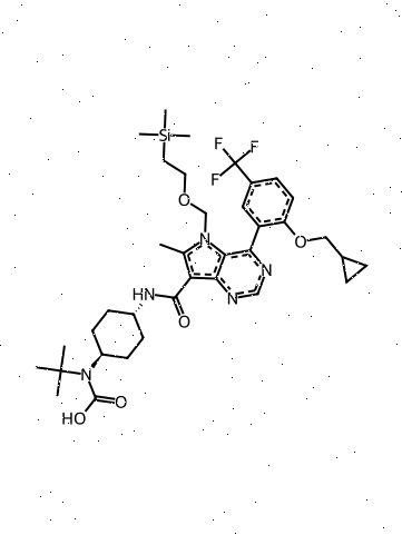 Cc1c(C(=O)N[C@H]2CC[C@H](N(C(=O)O)C(C)(C)C)CC2)c2ncnc(-c3cc(C(F)(F)F)ccc3OCC3CC3)c2n1COCC[Si](C)(C)C